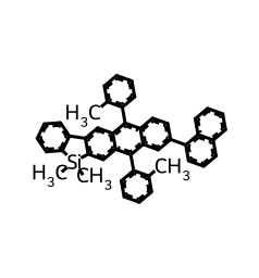 Cc1ccccc1-c1c2ccc(-c3cccc4ccccc34)cc2c(-c2ccccc2C)c2cc3c(cc12)-c1ccccc1[Si]3(C)C